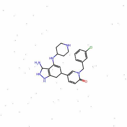 NC1NNC2=C1C(NC1CCNCC1)=CC(c1ccc(=O)n(Cc3cccc(Cl)c3)c1)C2